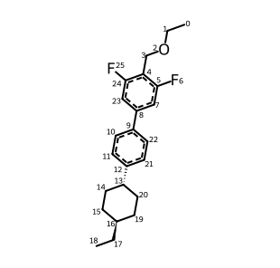 CCOCc1c(F)cc(-c2ccc([C@H]3CC[C@H](CC)CC3)cc2)cc1F